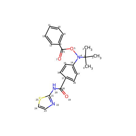 CC(C)(C)N(OC(=O)c1ccccc1)c1ccc(C(=O)Nc2nccs2)cc1